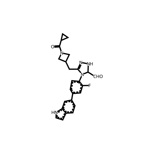 O=CC1NN=C(CC2CN(C(=O)C3CC3)C2)N1c1ccc(-c2ccc3cc[nH]c3c2)cc1F